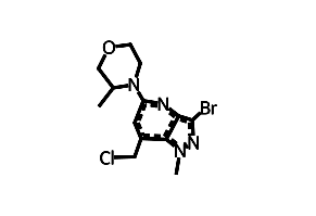 CC1COCCN1c1cc(CCl)c2c(n1)c(Br)nn2C